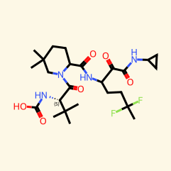 CC(F)(F)CCC(NC(=O)C1CCC(C)(C)CN1C(=O)[C@@H](NC(=O)O)C(C)(C)C)C(=O)C(=O)NC1CC1